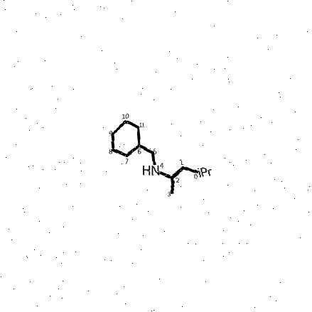 CC(C)CC(C)NCC1CCCCC1